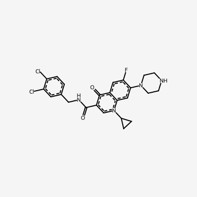 O=C(NCc1ccc(Cl)c(Cl)c1)c1cn(C2CC2)c2cc(N3CCNCC3)c(F)cc2c1=O